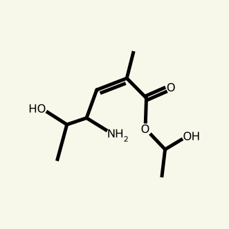 CC(=CC(N)C(C)O)C(=O)OC(C)O